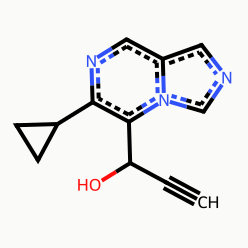 C#CC(O)c1c(C2CC2)ncc2cncn12